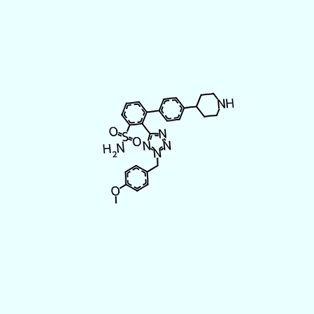 COc1ccc(Cn2nnc(-c3c(-c4ccc(C5CCNCC5)cc4)cccc3S(N)(=O)=O)n2)cc1